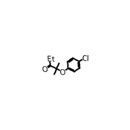 CCC(=O)C(C)(C)Oc1ccc(Cl)cc1